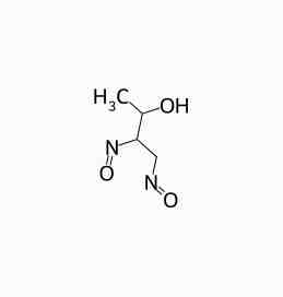 CC(O)C(CN=O)N=O